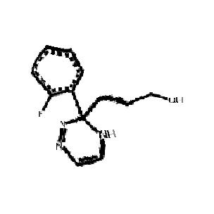 OCCCC1(c2ccccc2F)N=NC=CN1